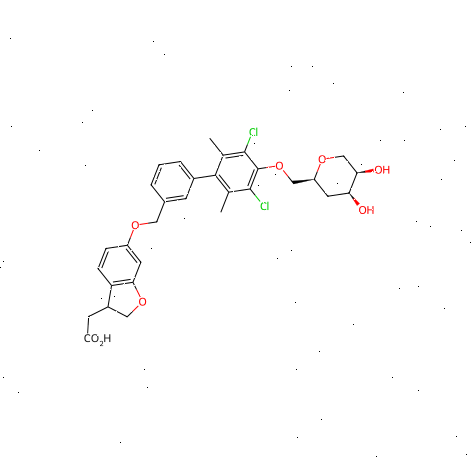 Cc1c(Cl)c(OC[C@@H]2C[C@H](O)[C@H](O)CO2)c(Cl)c(C)c1-c1cccc(COc2ccc3c(c2)OCC3CC(=O)O)c1